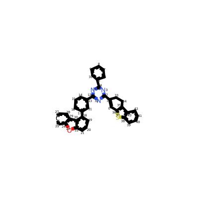 C1=C(c2nc(-c3ccccc3)nc(-c3cccc(-c4cccc5oc6ccccc6c45)c3)n2)CCc2c1sc1ccccc21